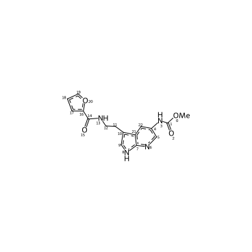 COC(=O)Nc1cnc2[nH]cc(CCNC(=O)c3ccco3)c2c1